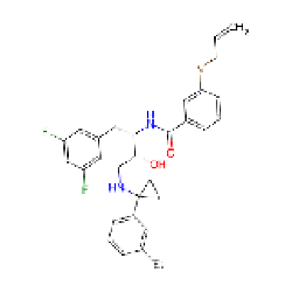 C=CCSc1cccc(C(=O)N[C@@H](Cc2cc(F)cc(F)c2)[C@H](O)CNC2(c3cccc(CC)c3)CC2)c1